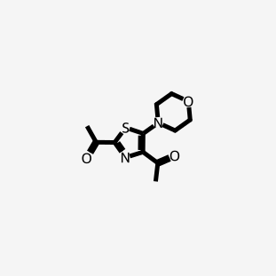 CC(=O)c1nc(C(C)=O)c(N2CCOCC2)s1